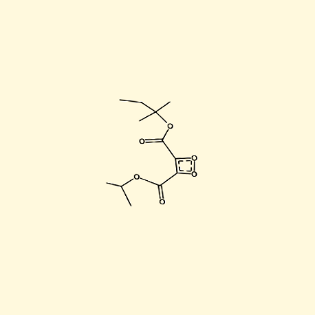 CCC(C)(C)OC(=O)c1ooc1C(=O)OC(C)C